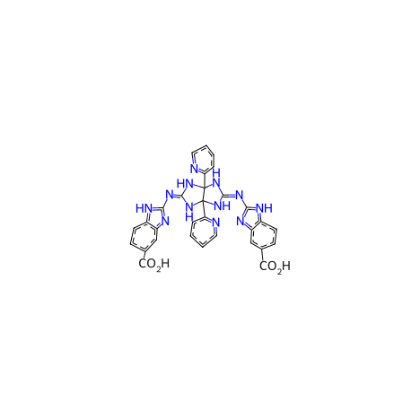 O=C(O)c1ccc2[nH]c(N=C3NC4(c5ccccn5)NC(=Nc5nc6cc(C(=O)O)ccc6[nH]5)NC4(c4ccccn4)N3)nc2c1